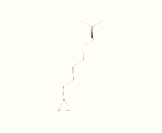 CC(C)=C[SiH2]CCCCC1CO1